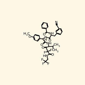 COc1ccc(C(NC(=O)C(Cc2cccc(C#N)c2)NC(=O)c2ccccc2)C(=O)NC(C(=O)C(F)(F)C(=O)NCC(F)(F)F)C(C)C)cc1